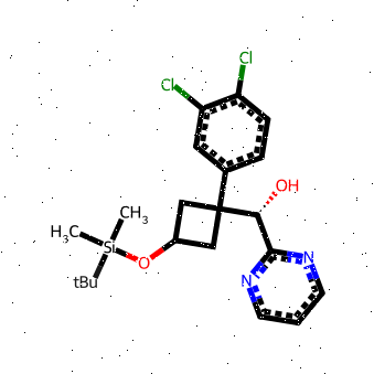 CC(C)(C)[Si](C)(C)OC1CC(c2ccc(Cl)c(Cl)c2)([C@H](O)c2ncccn2)C1